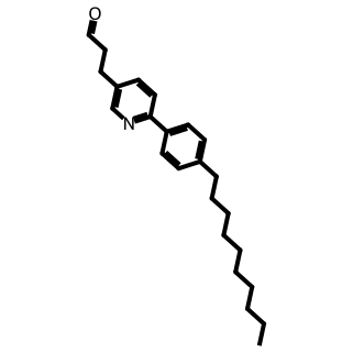 CCCCCCCCCCc1ccc(-c2ccc(CCC=O)cn2)cc1